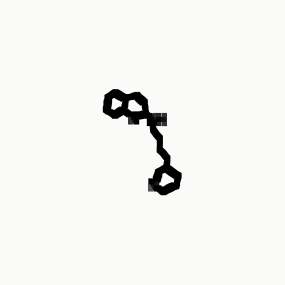 c1cncc(CCCCNc2ccc3ccccc3n2)c1